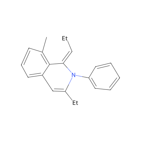 CC/C=C1\c2c(C)cccc2C=C(CC)N1c1ccccc1